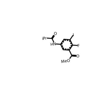 COC(=O)c1cc(NC(=O)C(C)C)cc(I)c1F